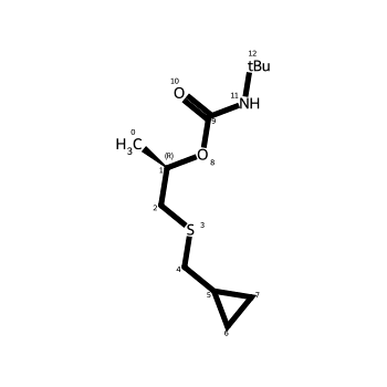 C[C@H](CSCC1CC1)OC(=O)NC(C)(C)C